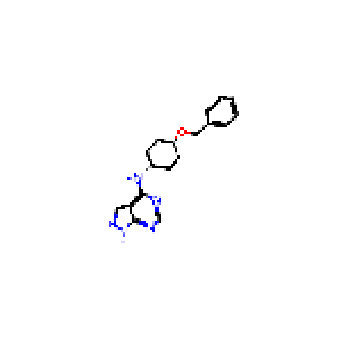 c1ccc(CO[C@H]2CC[C@@H](Nc3ncnc4[nH]ncc34)CC2)cc1